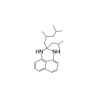 CC(C)CC(C)CC1(CC(C)C)Nc2cccc3cccc(c23)N1